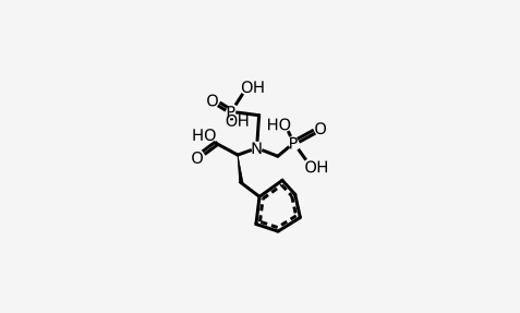 O=C(O)[C@H](Cc1ccccc1)N(CP(=O)(O)O)CP(=O)(O)O